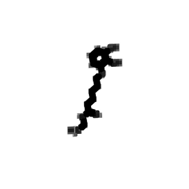 CCOC(=O)CCCCCOc1cccc(O)c1O